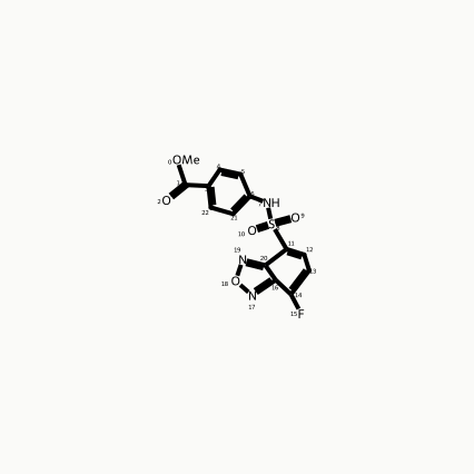 COC(=O)c1ccc(NS(=O)(=O)c2ccc(F)c3nonc23)cc1